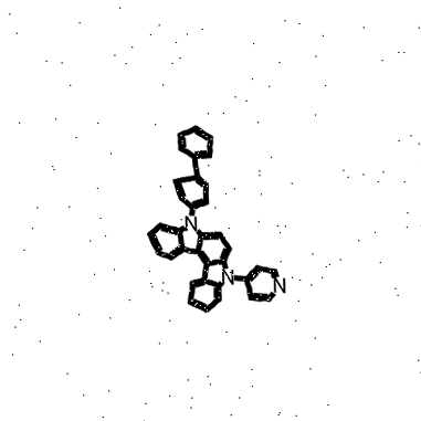 c1ccc(-c2ccc(-n3c4ccccc4c4c5c6ccccc6n(-c6ccncc6)c5ccc43)cc2)cc1